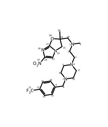 CN(CCN1CCN(Cc2ccc(C(F)(F)F)cc2)CC1)CC1(C)Cn2cc([N+](=O)[O-])nc2O1